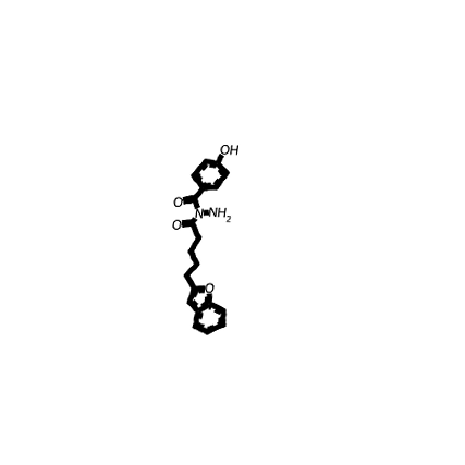 NN(C(=O)CCCCc1cc2ccccc2o1)C(=O)c1ccc(O)cc1